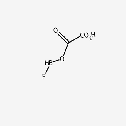 O=C(O)C(=O)OBF